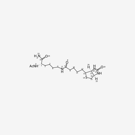 CC(=O)N[C@@H](CCCCNC(=O)CCCCC1SC[C@@H]2NC(=O)N[C@H]12)C(N)=O